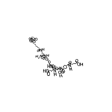 NC(=O)[C@H](CCCCNC(=O)CCCCCCC(=O)ON1C(=O)CCC1=O)NC(=O)COCCOCCNC(=O)C(CCC(=O)O)NC(=O)CCC(NC(=O)C1CCC(CNC(=O)CCCC(=O)O)CC1)C(=O)O